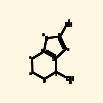 OC1CCCc2sc(S)cc21